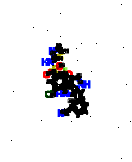 N#Cc1cccc(C[C@@]2(CNc3cc(F)c(S(=O)(=O)Nc4nccs4)cc3Cl)C[C@H](O)CN2)c1